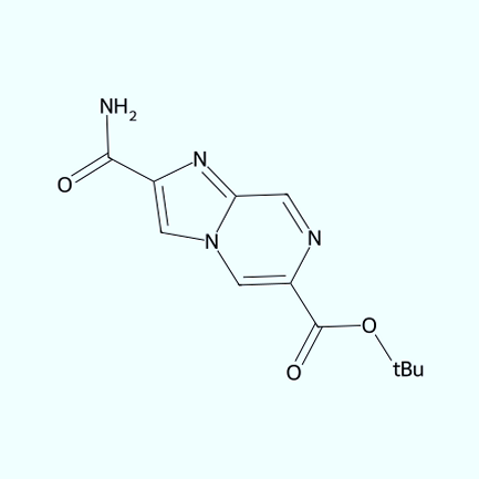 CC(C)(C)OC(=O)c1cn2cc(C(N)=O)nc2cn1